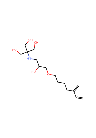 C=CC(=C)CCCCOCC(O)CNC(CO)(CO)CO